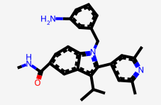 CNC(=O)c1ccc2c(c1)c(C(C)C)c(-c1cc(C)nc(C)c1)n2Cc1cccc(N)c1